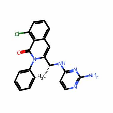 C[C@@H](Nc1ccnc(N)n1)c1cc2cccc(Cl)c2c(=O)n1-c1ccccc1